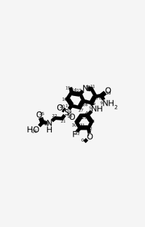 COc1cc(Nc2c(C(N)=O)cnc3c(C)cc(S(=O)(=O)CCNC(=O)O)cc23)ccc1F